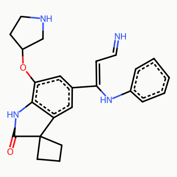 N=C/C=C(\Nc1ccccc1)c1cc(OC2CCNC2)c2c(c1)C1(CCC1)C(=O)N2